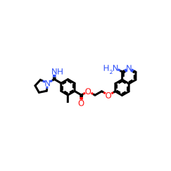 Cc1cc(C(=N)N2CCCC2)ccc1C(=O)OCCOc1ccc2ccnc(N)c2c1